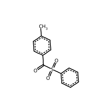 Cc1ccc(C(=O)S(=O)(=O)c2ccccc2)cc1